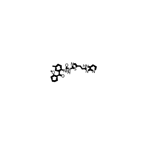 COc1ccccc1C(=O)c1cc(C)ccc1NC(=O)Nc1ncc(CCc2nc3ncccc3[nH]2)s1